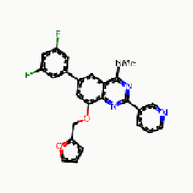 CNc1nc(-c2cccnc2)nc2c(OCc3ccco3)cc(-c3cc(F)cc(F)c3)cc12